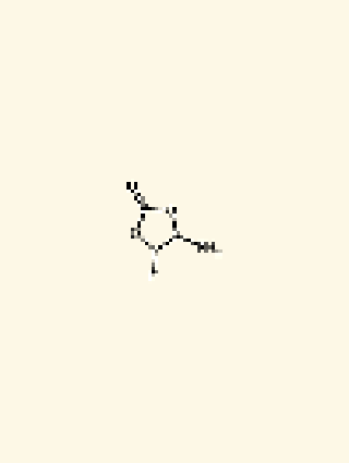 O=C1OC(F)C(P)O1